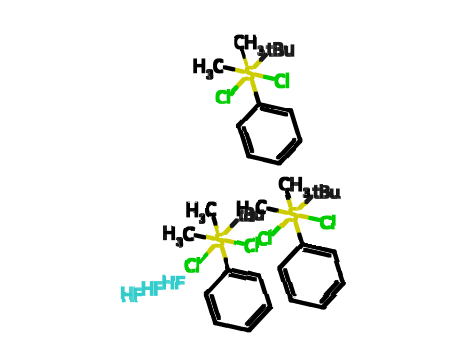 CC(C)(C)S(C)(C)(Cl)(Cl)c1ccccc1.CC(C)(C)S(C)(C)(Cl)(Cl)c1ccccc1.CC(C)(C)S(C)(C)(Cl)(Cl)c1ccccc1.F.F.F